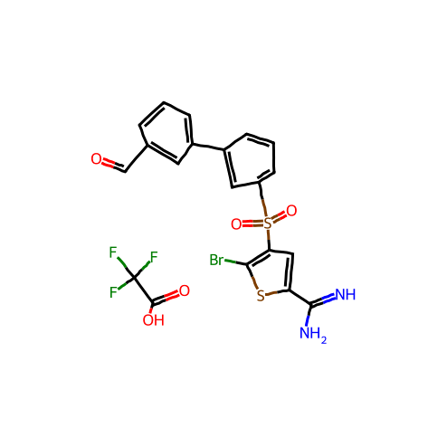 N=C(N)c1cc(S(=O)(=O)c2cccc(-c3cccc(C=O)c3)c2)c(Br)s1.O=C(O)C(F)(F)F